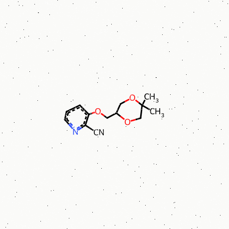 CC1(C)COC(COc2cccnc2C#N)CO1